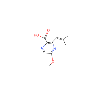 COc1cnc(C(=O)O)c(C=C(C)C)n1